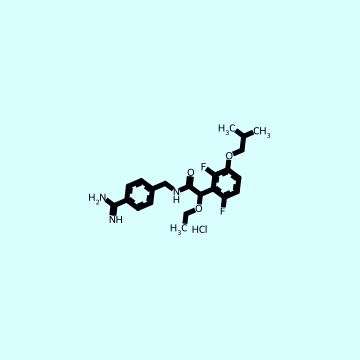 CCOC(C(=O)NCc1ccc(C(=N)N)cc1)c1c(F)ccc(OCC(C)C)c1F.Cl